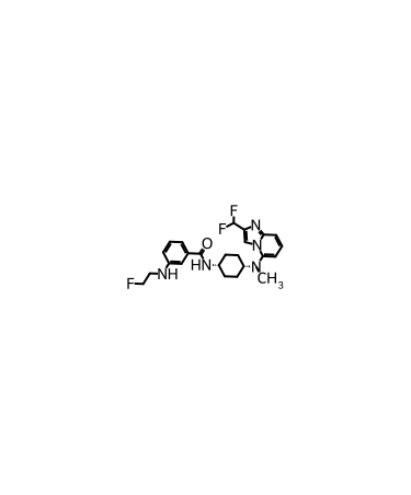 CN(c1cccc2nc(C(F)F)cn12)[C@H]1CC[C@@H](NC(=O)c2cccc(NCCF)c2)CC1